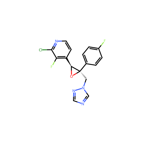 Fc1ccc([C@@]2(Cn3cncn3)O[C@H]2c2ccnc(Cl)c2F)cc1